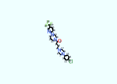 O=C(CCCN1CCN(c2ccc(Cl)cc2)CC1)N1CCCN(c2ccc(C(F)(F)F)cn2)CC1